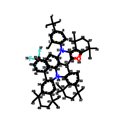 Cc1cc(C(C)(C)C)ccc1N1c2cc(C(F)(F)F)cc3c2B(c2ccc4c(c2N3c2cc3c(cc2-c2ccccc2)C(C)(C)CCC3(C)C)C(C)(C)CCC4(C)C)c2oc3c(c21)C(C)(C)CCC3(C)C